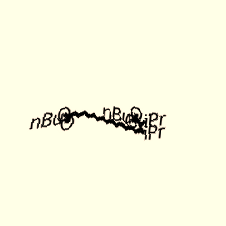 CCCCOC(=O)CCCCCCCCCCCCCCC(C(C)C)C(C(=O)OCCCC)C(C)C